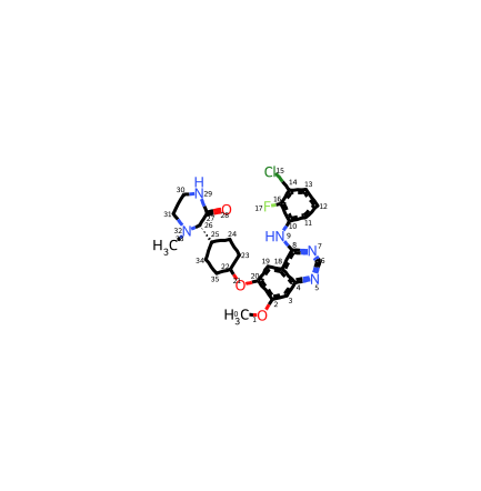 COc1cc2ncnc(Nc3cccc(Cl)c3F)c2cc1OC1CCC([C@H]2C(=O)NCCN2C)CC1